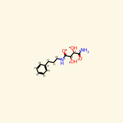 NC(=O)[C@H](O)C(O)C(=O)NCCCc1ccccc1